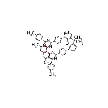 CC/C=C1\C(=C(/CC)c2ccc(-c3nc(-c4ccc(C)cc4)nc(-c4ccc(C)cc4)n3)cc2)Oc2c(-c3ccc(-c4nc(-c5ccc(C)cc5)nc(-c5ccc(C)cc5)n4)cc3)cccc2C1(C)C